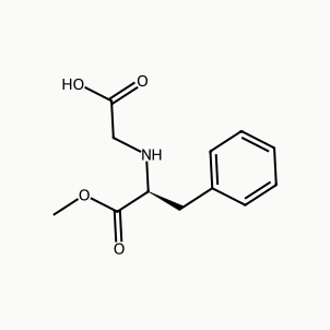 COC(=O)[C@H](Cc1ccccc1)NCC(=O)O